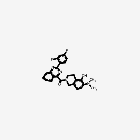 CN(C)c1ccc2c(c1O)CCN(C(=O)c1nc(-c3ccc(F)cc3F)nc3ccccc13)C2